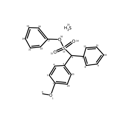 COc1ccc(C(c2ccccc2)S(=O)(=O)Oc2ccccc2)cc1.S